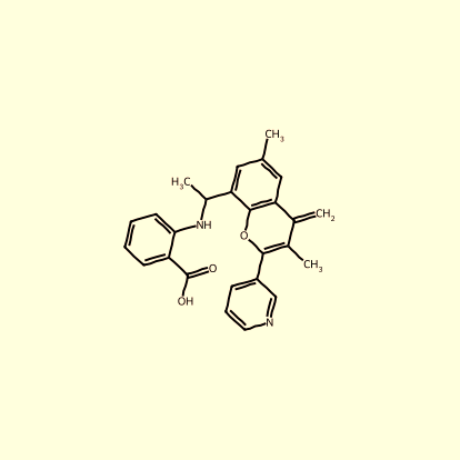 C=C1C(C)=C(c2cccnc2)Oc2c1cc(C)cc2C(C)Nc1ccccc1C(=O)O